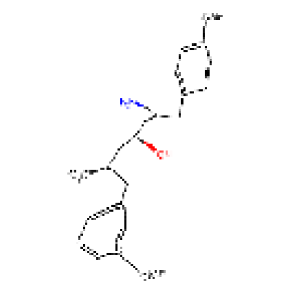 COc1ccc(C[C@H](N)[C@@H](O)C[C@@H](Cc2cccc(OC)c2)C(=O)O)cc1